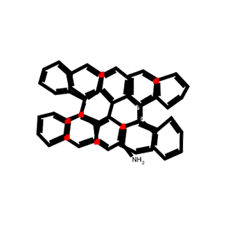 Nc1ccc(P(c2ccccc2)c2ccccc2)c(-c2c(P(c3ccccc3)c3ccccc3)cccc2P(c2ccccc2)c2ccccc2)c1P(c1ccccc1)c1ccccc1